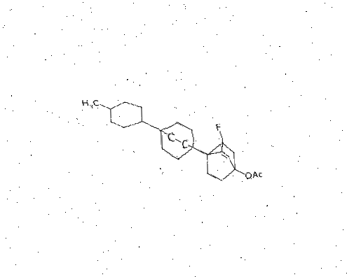 CC(=O)OC12C=C(F)C(C34CCC(C5CCC(C)CC5)(CC3)CC4)(CC1)CC2